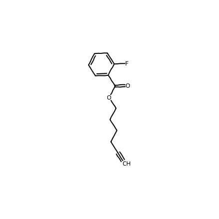 C#CCCCCOC(=O)c1ccccc1F